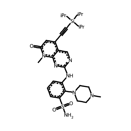 CC(C)[Si](C#Cc1cc(=O)n(C)c2nc(Nc3cccc(S(N)(=O)=O)c3N3CCN(C)CC3)ncc12)(C(C)C)C(C)C